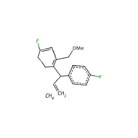 C.C=CC(C1=C(COC)C=C(F)CC1)c1ccc(F)cc1